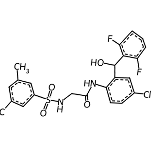 Cc1cc(C)cc(S(=O)(=O)NCC(=O)Nc2ccc(Cl)cc2C(O)c2c(F)cccc2F)c1